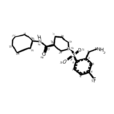 NCc1cc(F)ccc1S(=O)(=O)N1CCCC(C(=O)NC2CCCCC2)C1